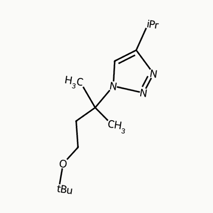 CC(C)c1cn(C(C)(C)CCOC(C)(C)C)nn1